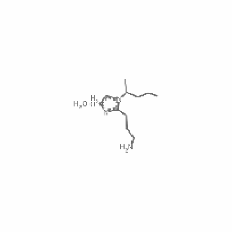 CCCC(C)n1ccnc1CCCN.O.O